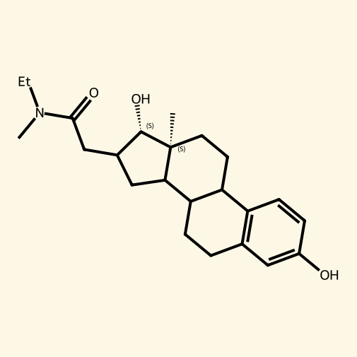 CCN(C)C(=O)CC1CC2C3CCc4cc(O)ccc4C3CC[C@]2(C)[C@H]1O